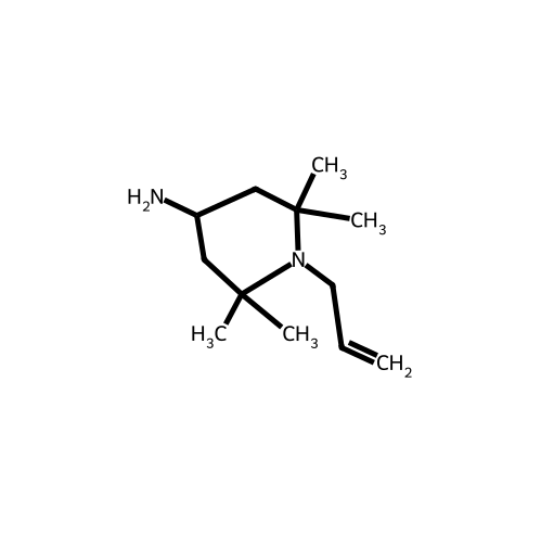 C=CCN1C(C)(C)CC(N)CC1(C)C